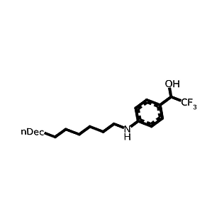 CCCCCCCCCCCCCCCCNc1ccc(C(O)C(F)(F)F)cc1